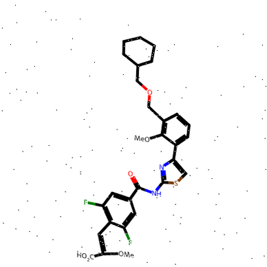 CO/C(=C\c1c(F)cc(C(=O)Nc2nc(-c3cccc(COCC4CCCCC4)c3OC)cs2)cc1F)C(=O)O